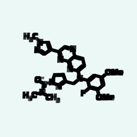 COc1cc(OC)c(F)c(N(Cc2ccn([S+]([O-])N(C)C)n2)c2ccc3ncc(-c4cnn(C)c4)nc3n2)c1